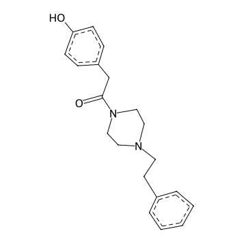 O=C(Cc1ccc(O)cc1)N1CCN(CCc2ccccc2)CC1